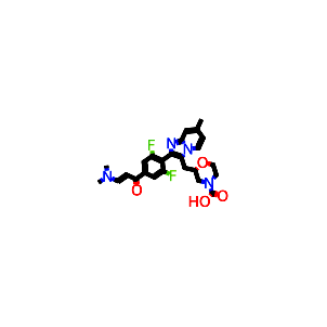 Cc1ccn2c(CC3CN(C(=O)O)CCO3)c(-c3c(F)cc(C(=O)C=CN(C)C)cc3F)nc2c1